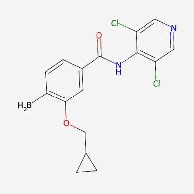 Bc1ccc(C(=O)Nc2c(Cl)cncc2Cl)cc1OCC1CC1